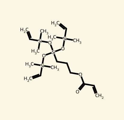 C=CC(=O)OCCC[Si](O[Si](C)(C)C=C)(O[Si](C)(C)C=C)O[Si](C)(C)C=C